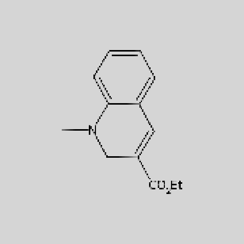 CCOC(=O)C1=Cc2ccccc2N(C)C1